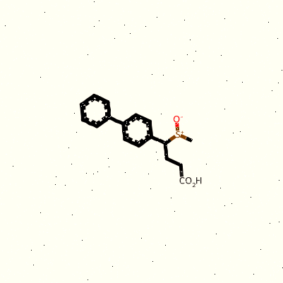 C[S+]([O-])C(CCC(=O)O)c1ccc(-c2ccccc2)cc1